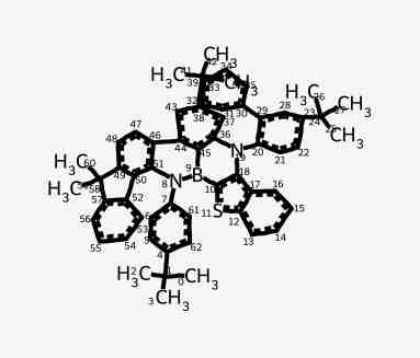 CC(C)(C)c1ccc(N2B3c4sc5ccccc5c4N(c4ccc(C(C)(C)C)cc4-c4ccccc4)c4cc(C(C)(C)C)cc(c43)-c3ccc4c(c32)-c2ccccc2C4(C)C)cc1